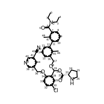 CCN(CC)C(=O)c1cccc(-c2cccc(COC(OC(=O)[C@@H]3CCCN3)c3cc(Cl)ccc3OCc3cncc(C#N)c3)c2C)c1C